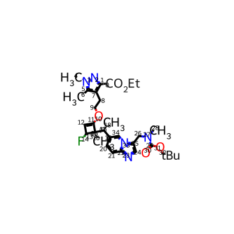 CCOC(=O)c1nn(C)c(C)c1CCOC1=CC(F)[C@]1(C)[C@H](C)c1ccc2ncc(CN(C)C(=O)OC(C)(C)C)n2c1